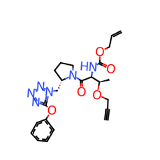 C#CCO[C@H](C)[C@H](NC(=O)OCC=C)C(=O)N1CCC[C@H]1Cn1nnnc1Oc1ccccc1